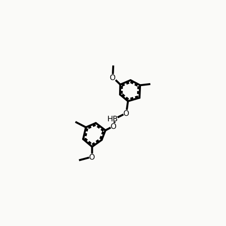 COc1cc(C)cc(OBOc2cc(C)cc(OC)c2)c1